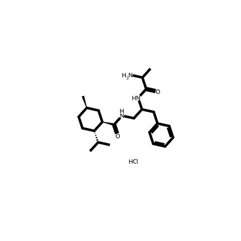 CC(N)C(=O)NC(CNC(=O)[C@@H]1C[C@H](C)CC[C@H]1C(C)C)Cc1ccccc1.Cl